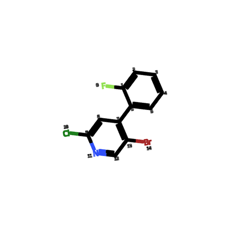 Fc1ccccc1-c1cc(Cl)ncc1Br